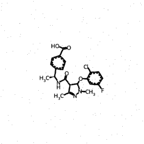 CC1=NN(C)C(Oc2cc(F)ccc2Cl)C1C(=O)N[C@@H](C)c1ccc(C(=O)O)cc1